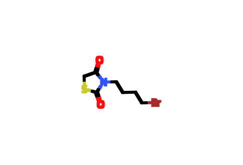 O=C1CSC(=O)N1CCCCBr